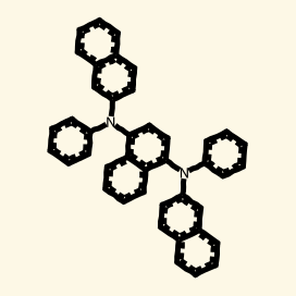 c1ccc(N(c2ccc3ccccc3c2)c2ccc(N(c3ccccc3)c3ccc4ccccc4c3)c3ccccc23)cc1